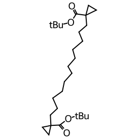 CC(C)(C)OC(=O)C1(CCCCCCCCCCCCC2(C(=O)OC(C)(C)C)CC2)CC1